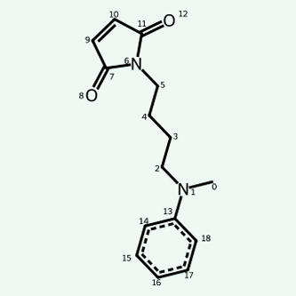 CN(CCCCN1C(=O)C=CC1=O)c1ccccc1